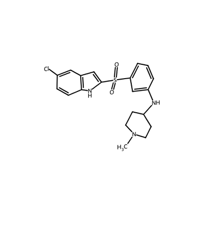 CN1CCC(Nc2cccc(S(=O)(=O)c3cc4cc(Cl)ccc4[nH]3)c2)CC1